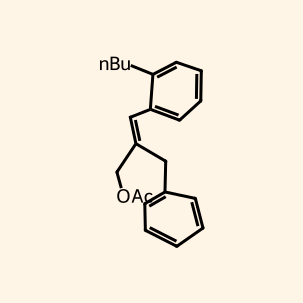 CCCCc1ccccc1C=C(COC(C)=O)Cc1ccccc1